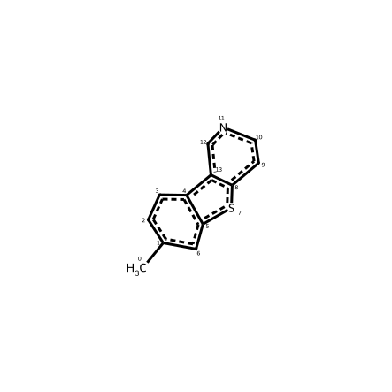 Cc1ccc2c(c1)sc1ccncc12